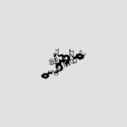 CC(C)(C)OC(=O)NCCCCC(NC(=O)c1ccc(F)c(F)c1)C(=O)c1noc(CC2CCN(C(=O)NCCc3ccccc3)CC2)n1